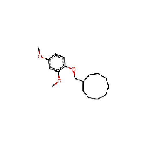 COc1ccc(OCC2CCCCCCCC2)c(OC)c1